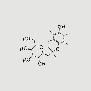 Cc1c(C)c2c(c(C)c1O)CCC(C)(C[C@@H]1O[C@H](CO)[C@H](O)[C@H](O)[C@H]1O)O2